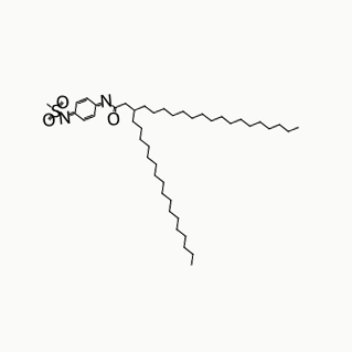 CCCCCCCCCCCCCCCCCC(CCCCCCCCCCCCCCCCC)CC(=O)N=C1C=CC(=NS(C)(=O)=O)C=C1